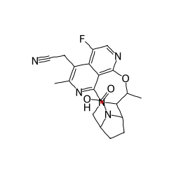 Cc1nc2c3c(ncc(F)c3c1CC#N)OC(C)C1C3CCC(CN21)N3C(=O)O